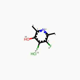 Cc1nc(C)c(F)c(F)c1O.Cl